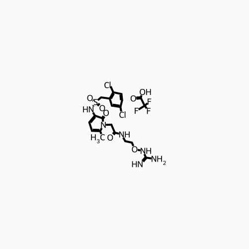 Cc1ccc(NS(=O)(=O)Cc2cc(Cl)ccc2Cl)c(=O)n1CC(=O)NCCONC(=N)N.O=C(O)C(F)(F)F